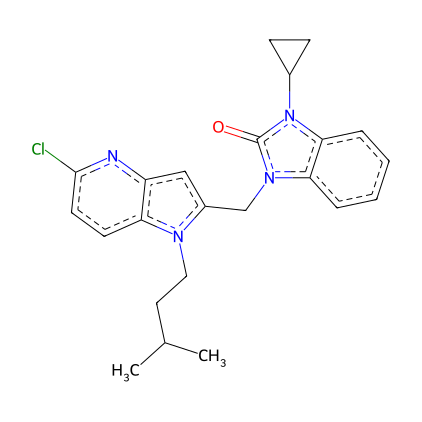 CC(C)CCn1c(Cn2c(=O)n(C3CC3)c3ccccc32)cc2nc(Cl)ccc21